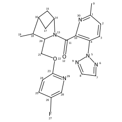 Cc1ccc(-n2nccn2)c(C(=O)N2C3CC(C3)C(C)C2COc2ccc(F)cn2)n1